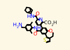 Cc1cc(CN)cc(C)c1NC(=O)c1cc2c(cc1-c1ccc(C(=O)NC3CC4CCC3C4)nc1C(=O)O)OCCc1ccsc1-2